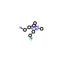 N#Cc1cccc(-c2ccc3c4ccccc4n(-c4cc(-c5cccc(C(F)(F)F)c5)ccc4-c4nc(-c5ccccc5)nc(-c5ccccc5)n4)c3c2)c1